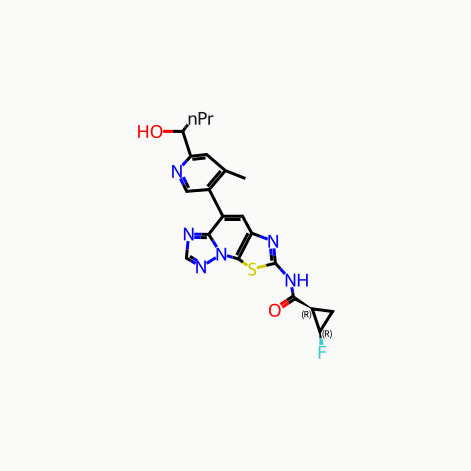 CCCC(O)c1cc(C)c(-c2cc3nc(NC(=O)[C@H]4C[C@H]4F)sc3n3ncnc23)cn1